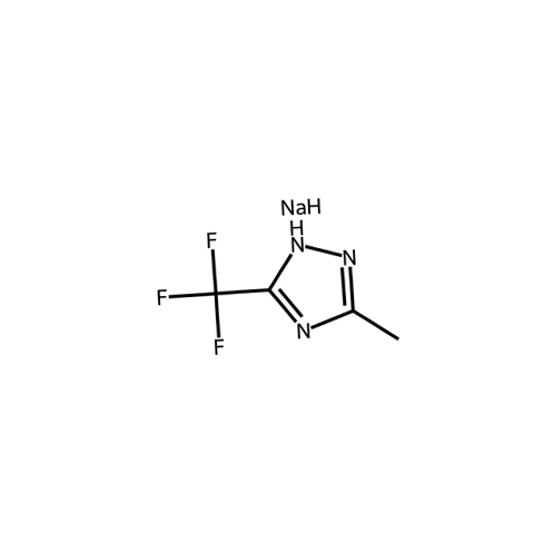 Cc1n[nH]c(C(F)(F)F)n1.[NaH]